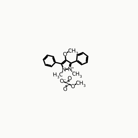 COS(=O)(=O)[O-].COc1c(-c2ccccc2)n(C)[n+](C)c1-c1ccccc1